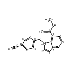 COC(=O)c1cccc2ccn(Cc3ccc(C#N)cc3)c12